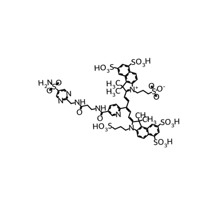 CC1(C)C(/C=C/C(=C/C=C2/N(CCCS(=O)(=O)O)c3ccc4c(S(=O)(=O)O)cc(S(=O)(=O)O)cc4c3C2(C)C)c2ccc(C(=O)NCCC(=O)NCc3ncc(S(N)(=O)=O)cn3)cn2)=[N+](CCCS(=O)(=O)[O-])c2ccc3c(S(=O)(=O)O)cc(S(=O)(=O)O)cc3c21